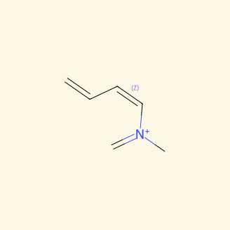 C=C/C=C\[N+](=C)C